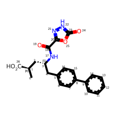 C[C@H](C[C@@H](Cc1ccc(-c2ccccc2)cc1)NC(=O)c1n[nH]c(=O)o1)C(=O)O